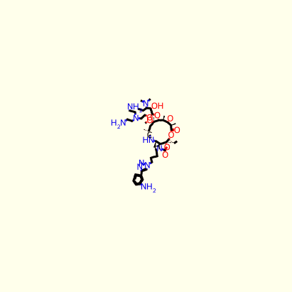 CCC(C(O)[C@@H](OCCN(CCN)CCN)O[C@@H]1[C@@H](C)C(=O)[C@@H](C)C(=O)O[C@H](CC)[C@@]2(C)OC(=O)N(CCCCn3cc(-c4cccc(N)c4)nn3)[C@@H]2[C@@H](C)NC[C@H](C)C[C@@]1(C)OC)N(C)C